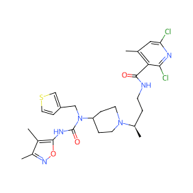 Cc1cc(Cl)nc(Cl)c1C(=O)NCC[C@@H](C)N1CCC(N(Cc2ccsc2)C(=O)Nc2onc(C)c2C)CC1